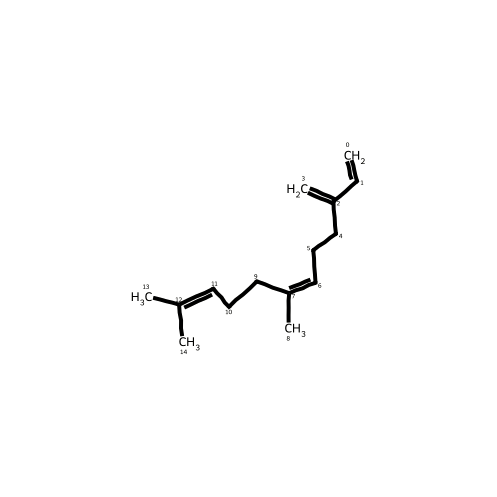 C=CC(=C)CCC=C(C)CCC=C(C)C